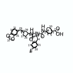 O=C(Nc1ccc(C(=O)O)cc1)N[C@@H](Cc1ccc(F)cc1)C(=O)N[C@H]1CCN(Cc2ccc3c(c2)OCO3)C1